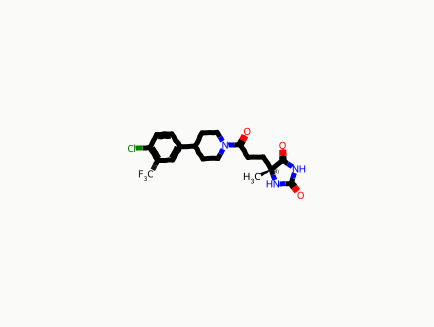 C[C@]1(CCC(=O)N2CCC(c3ccc(Cl)c(C(F)(F)F)c3)CC2)NC(=O)NC1=O